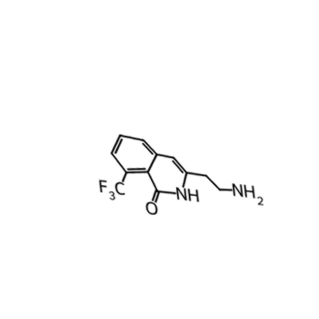 NCCc1cc2cccc(C(F)(F)F)c2c(=O)[nH]1